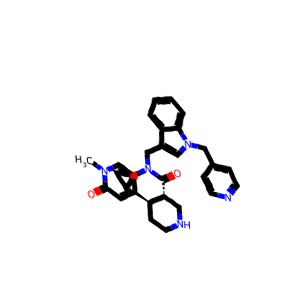 Cn1ccc([C@@H]2CCNC[C@H]2C(=O)N(Cc2cn(Cc3ccncc3)c3ccccc23)C2CC2)cc1=O